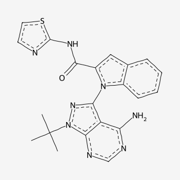 CC(C)(C)n1nc(-n2c(C(=O)Nc3nccs3)cc3ccccc32)c2c(N)ncnc21